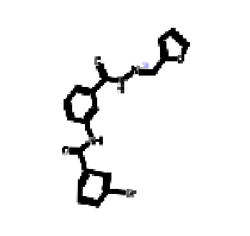 O=C(N/N=C/c1ccco1)c1cccc(NC(=O)c2cccc(Br)c2)c1